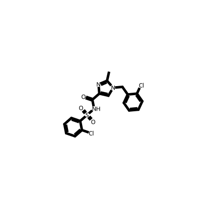 Cc1nc(C(=O)NS(=O)(=O)c2ccccc2Cl)cn1Cc1ccccc1Cl